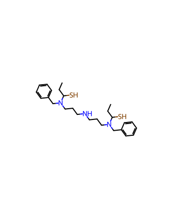 CCC(S)N(CCCNCCCN(Cc1ccccc1)C(S)CC)Cc1ccccc1